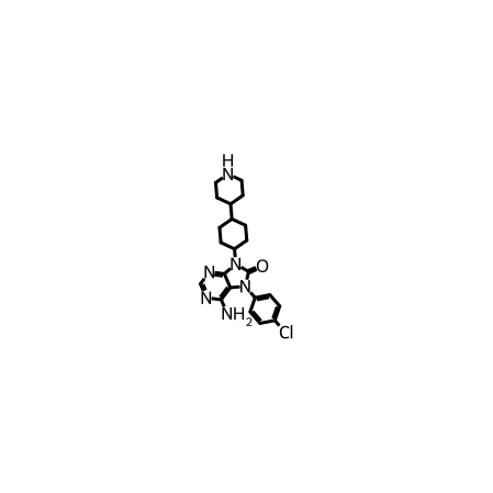 Nc1ncnc2c1n(-c1ccc(Cl)cc1)c(=O)n2C1CCC(C2CCNCC2)CC1